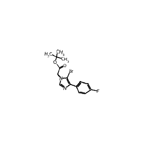 CC(C)(C)OC(=O)Cn1cnc(-c2ccc(F)cc2)c1Br